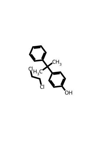 CC(C)(c1ccccc1)c1ccc(O)cc1.ClCCCl